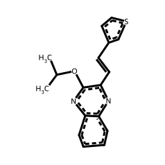 CC(C)Oc1nc2ccccc2nc1/C=C/c1ccsc1